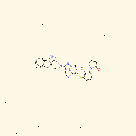 N[C@@H]1c2ccccc2CC12CCN(c1nc3ccc(Sc4cccc(N5CCCC5=O)c4Cl)c4ncc1n34)CC2